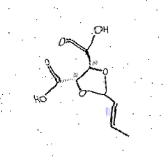 C/C=C/C1O[C@H](C(=O)O)[C@@H](C(=O)O)O1